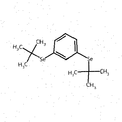 CC(C)(C)[Se]c1[c]ccc([Se]C(C)(C)C)c1